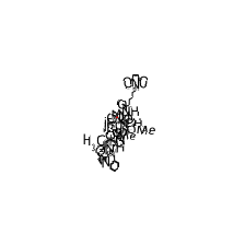 CC[C@H](C)[C@@H]([C@@H](CC(=O)N1CCC[C@H]1[C@H](OC)[C@@H](C)C(=O)N[C@@H](Cc1ccccc1)c1nccs1)OC)N(C)[C@@](C(N)=O)(C(=O)C1(NC(=O)CCCCCN2C(=O)C=CC2=O)CC1)C(C)C